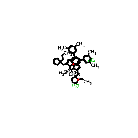 CCCC1(CC2=Cc3c(-c4cc(C)cc(C)c4)cccc3[CH]2[Zr]([CH3])([CH3])(=[SiH2])[CH]2C(CC3(CCC)CCCC3)=Cc3c(-c4cc(C)cc(C)c4)cccc32)CCCC1.Cl.Cl